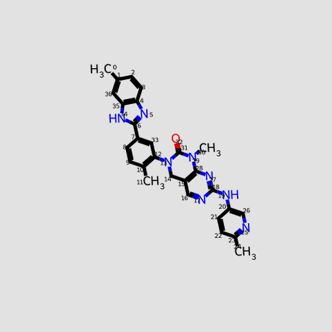 Cc1ccc2nc(-c3ccc(C)c(N4Cc5cnc(Nc6ccc(C)nc6)nc5N(C)C4=O)c3)[nH]c2c1